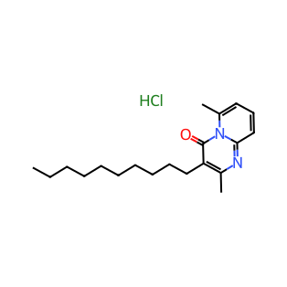 CCCCCCCCCCc1c(C)nc2cccc(C)n2c1=O.Cl